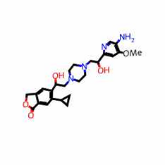 COc1cc(C(O)CN2CCN(CC(O)c3cc4c(cc3C3CC3)C(=O)OC4)CC2)ncc1N